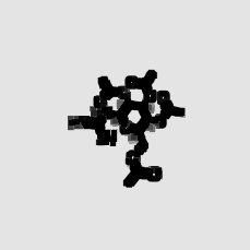 CC(=O)OC[C@H]1O[C@@H](NC(=N)S)[C@H](OC(C)=O)[C@@H](OC(C)=O)[C@H]1OC(C)=O